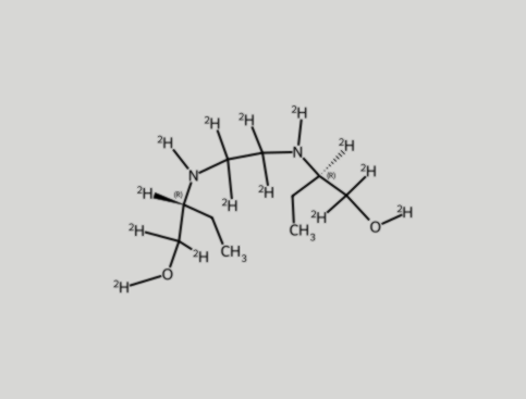 [2H]OC([2H])([2H])[C@@]([2H])(CC)N([2H])C([2H])([2H])C([2H])([2H])N([2H])[C@]([2H])(CC)C([2H])([2H])O[2H]